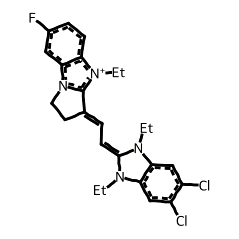 CCN1C(=CC=C2CCn3c2[n+](CC)c2ccc(F)cc23)N(CC)c2cc(Cl)c(Cl)cc21